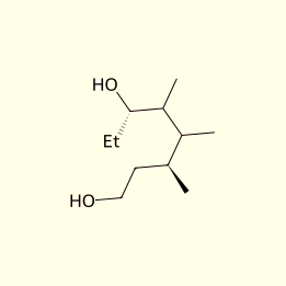 CC[C@H](O)C(C)C(C)[C@@H](C)CCO